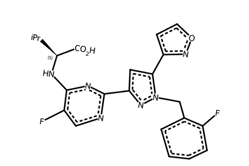 CC(C)[C@H](Nc1nc(-c2cc(-c3ccon3)n(Cc3ccccc3F)n2)ncc1F)C(=O)O